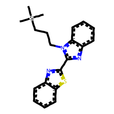 C[Si](C)(C)CCCn1c(-c2nc3ccccc3s2)nc2ccccc21